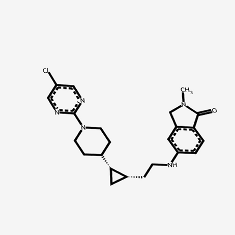 CN1Cc2cc(NCC[C@@H]3C[C@@H]3C3CCN(c4ncc(Cl)cn4)CC3)ccc2C1=O